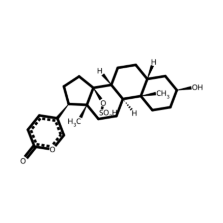 C[C@]12CC[C@H](O)C[C@H]1CC[C@@H]1[C@@H]2CC[C@]2(C)[C@@H](c3ccc(=O)oc3)CC[C@]12OS(=O)(=O)O